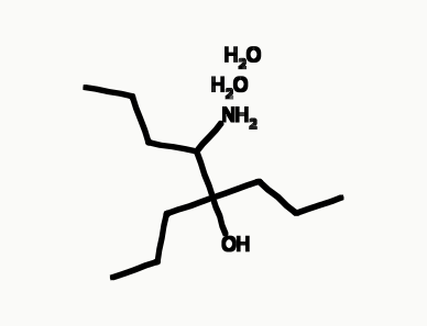 CCCC(N)C(O)(CCC)CCC.O.O